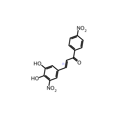 O=C(/C=C/c1cc(O)c(O)c([N+](=O)[O-])c1)c1ccc([N+](=O)[O-])cc1